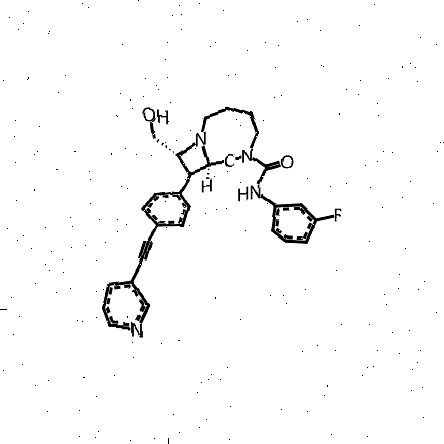 O=C(Nc1cccc(F)c1)N1CCCCN2[C@@H](CO)C(c3ccc(C#Cc4cccnc4)cc3)[C@@H]2C1